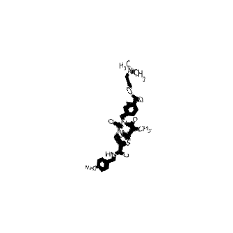 COc1ccc(CNC(=O)c2cn3c(=O)n(Cc4ccc(C(=O)OCCN(C)C)cc4)c(=O)c(C)c3s2)cc1